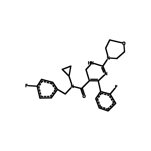 O=C(C1=C(c2ccccc2F)N=C(N2CCOCC2)NC1)N(Cc1ccc(F)cc1)C1CC1